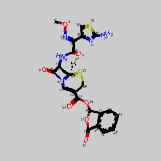 CON=C(C(=O)NC1C(=O)N2C=C(C(=O)OC3OC(=O)c4ccccc43)CS[C@H]12)c1csc(N)n1